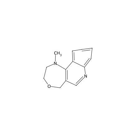 CN1CCOCc2cnc3ccccc3c21